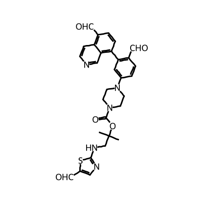 CC(C)(CNc1ncc(C=O)s1)OC(=O)N1CCN(c2ccc(C=O)c(-c3ccc(C=O)c4ccncc34)c2)CC1